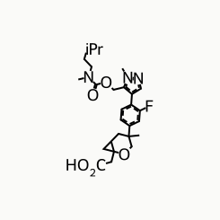 CC(C)CCN(C)C(=O)OCc1c(-c2ccc(C3(C)COC4(CC(=O)O)CC4C3)cc2F)cnn1C